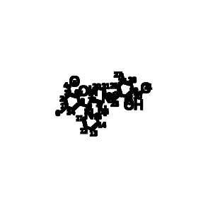 Cc1cc(C=O)c(O)c(Cn2cccc/c2=N/c2cccc[n+]2Cc2cc(C)cc(C=O)c2O)c1